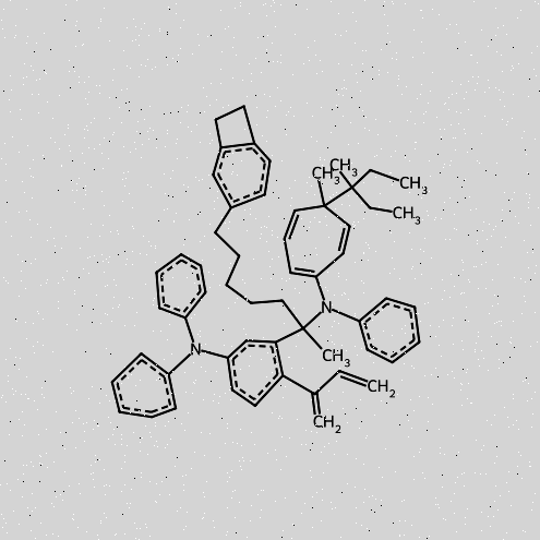 C=CC(=C)c1ccc(N(c2ccccc2)c2ccccc2)cc1C(C)(CCCCCc1ccc2c(c1)CC2)N(C1=CC=CC(C)(C(C)(CC)CC)C=C1)c1ccccc1